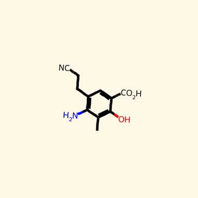 Cc1c(N)c(CCC#N)cc(C(=O)O)c1O